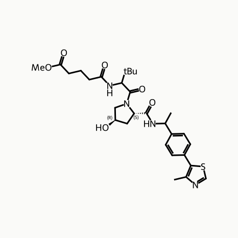 COC(=O)CCCC(=O)NC(C(=O)N1C[C@H](O)C[C@H]1C(=O)NC(C)c1ccc(-c2scnc2C)cc1)C(C)(C)C